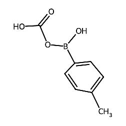 Cc1ccc(B(O)OC(=O)O)cc1